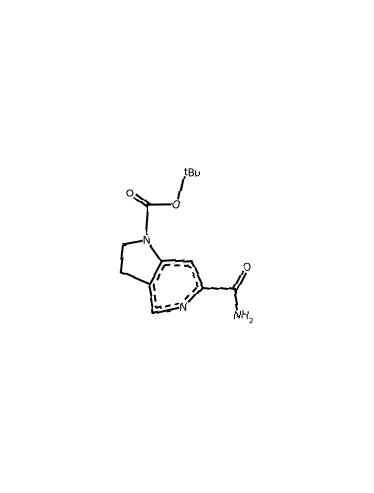 CC(C)(C)OC(=O)N1CCc2cnc(C(N)=O)cc21